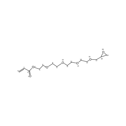 C=CC(=O)OCCOCCOCCOCCOCC1CO1